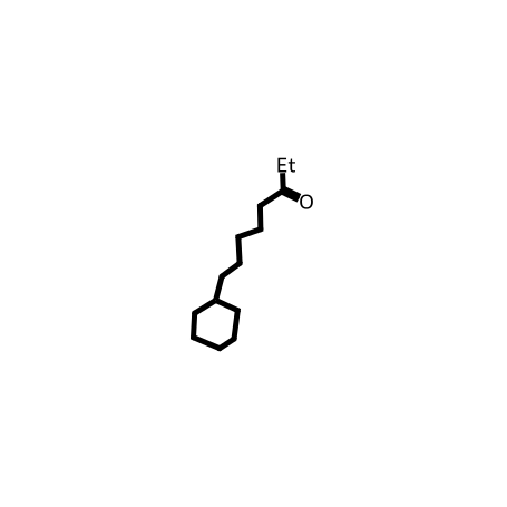 CCC(=O)CCCCCC1CCCCC1